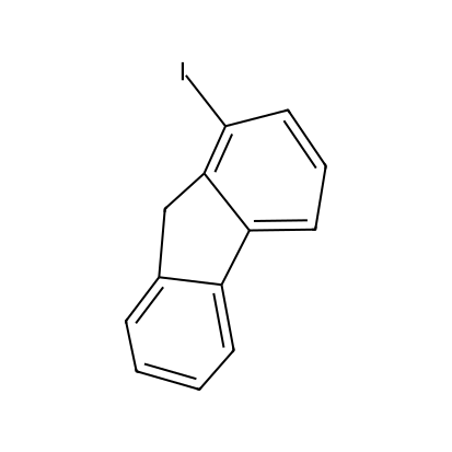 Ic1cccc2c1Cc1ccccc1-2